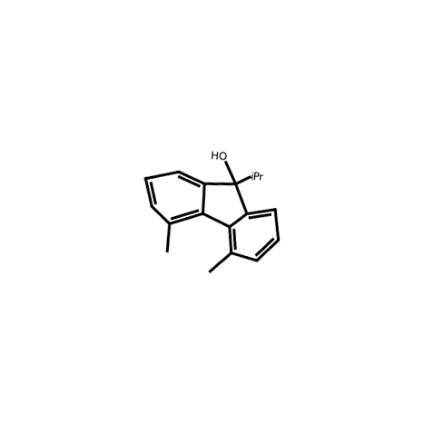 Cc1cccc2c1-c1c(C)cccc1C2(O)C(C)C